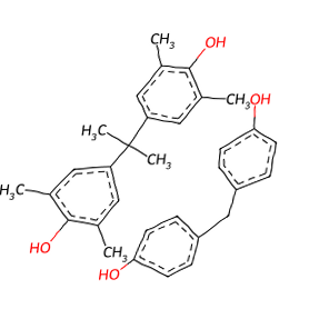 Cc1cc(C(C)(C)c2cc(C)c(O)c(C)c2)cc(C)c1O.Oc1ccc(Cc2ccc(O)cc2)cc1